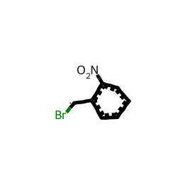 O=[N+]([O-])c1ccccc1[CH]Br